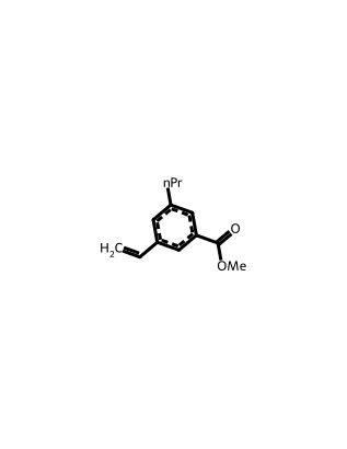 C=Cc1cc(CCC)cc(C(=O)OC)c1